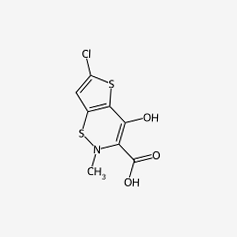 CN1Sc2cc(Cl)sc2C(O)=C1C(=O)O